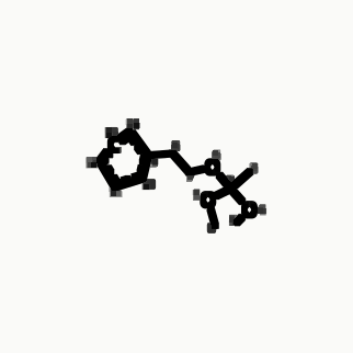 COC(C)(OC)OCCc1ccccc1